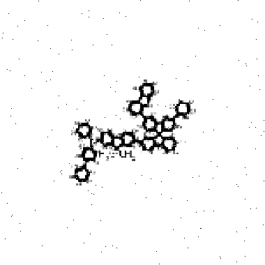 CC1(C)c2cc(-c3ccc4c(c3)C(c3ccc(C5=CC=CCC5)cc3)(c3ccc(-c5cccc6c5sc5ccccc56)cc3)c3ccccc3-4)ccc2-c2ccc(N(c3ccccc3)c3ccc(-c4ccccc4)cc3)cc21